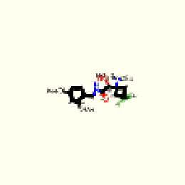 COc1ccc(CNC(=O)[C@@H](O)C2(N(C(=O)O)C(C)(C)C)CC(F)(F)C2)c(OC)c1